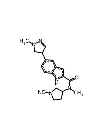 CN1CC(c2ccc3[nH]c(C(=O)N(C)C4CCN(C#N)C4)cc3c2)C=N1